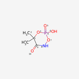 CC1(C)OP(=O)(O)ONC1=O